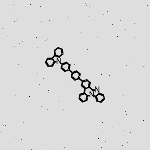 C1=Cc2c(c3ccccc3n2-c2ccc(-c3ccc(-c4ccc5c(c4)c4ccccc4n4c6ccccc6nc54)cc3)cc2)CC1